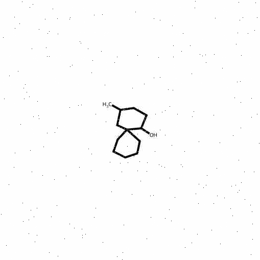 CC1CCC(O)C2(CCCCC2)C1